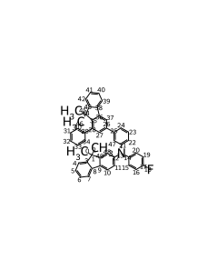 CC1(C)c2ccccc2-c2ccc(N(c3ccc(F)cc3)c3cccc(-c4cc(-c5ccccc5)c5c(c4)-c4ccccc4C5(C)C)c3)cc21